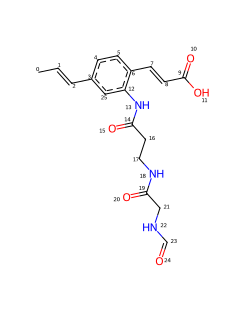 C/C=C/c1ccc(/C=C/C(=O)O)c(NC(=O)CCNC(=O)CNC=O)c1